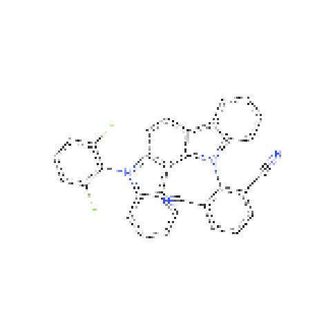 N#Cc1cccc(C#N)c1-n1c2ccccc2c2ccc3c(c4ccccc4n3-c3c(F)cccc3F)c21